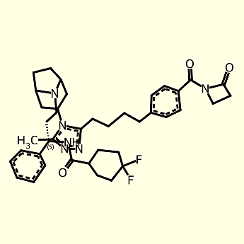 Cc1nnc(CCCCc2ccc(C(=O)N3CCC3=O)cc2)n1C1CC2CCC(C1)N2CC[C@H](NC(=O)C1CCC(F)(F)CC1)c1ccccc1